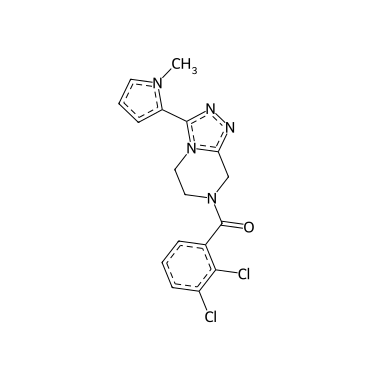 Cn1cccc1-c1nnc2n1CCN(C(=O)c1cccc(Cl)c1Cl)C2